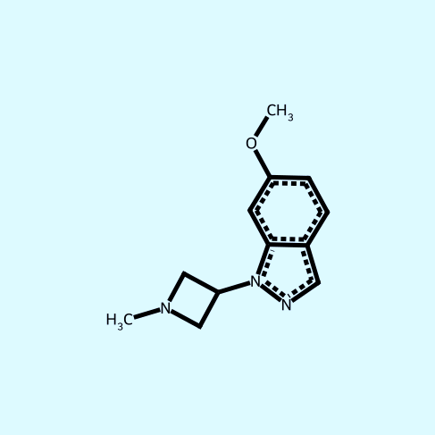 COc1ccc2cnn(C3CN(C)C3)c2c1